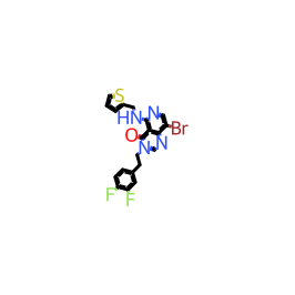 O=c1c2c(NCc3cccs3)ncc(Br)c2ncn1CCc1ccc(F)c(F)c1